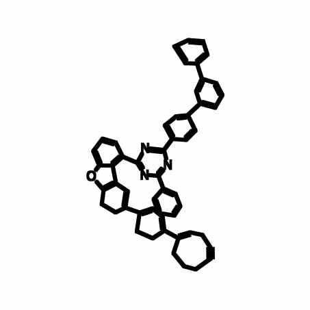 C1#CCCC/C(C2=CC=C(C3=Cc4c(oc5cccc(-c6nc(-c7ccccc7)nc(-c7ccc(-c8cccc(-c9ccccc9)c8)cc7)n6)c45)CC3)CC2)=C\C1